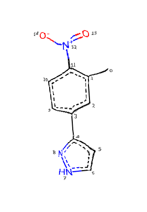 Cc1cc(-c2cc[nH]n2)ccc1[N+](=O)[O-]